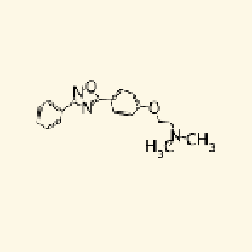 CN(C)CCOc1ccc(-c2nc(-c3ccccc3)no2)cc1